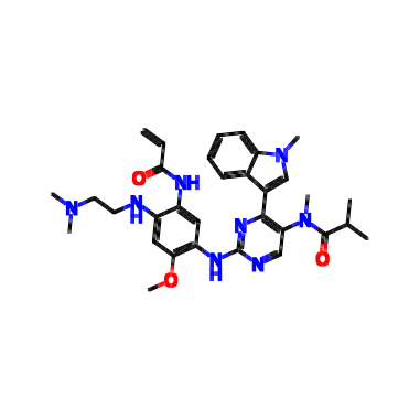 C=CC(=O)Nc1cc(Nc2ncc(N(C)C(=O)C(C)C)c(-c3cn(C)c4ccccc34)n2)c(OC)cc1NCCN(C)C